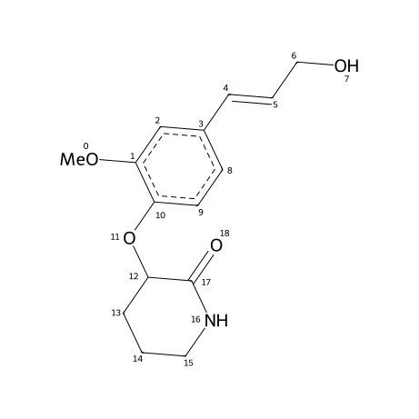 COc1cc(C=CCO)ccc1OC1CCCNC1=O